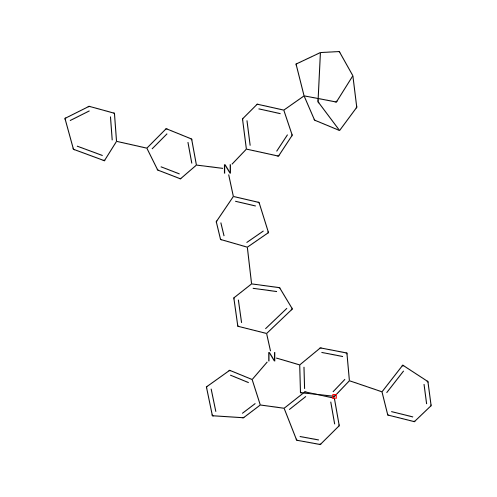 c1ccc(-c2ccc(N(c3ccc(-c4ccc(N(c5ccc(-c6ccccc6)cc5)c5ccccc5-c5ccccc5)cc4)cc3)c3ccc(C45CC6CC(CC(C6)C4)C5)cc3)cc2)cc1